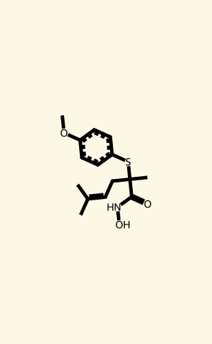 COc1ccc(SC(C)(CC=C(C)C)C(=O)NO)cc1